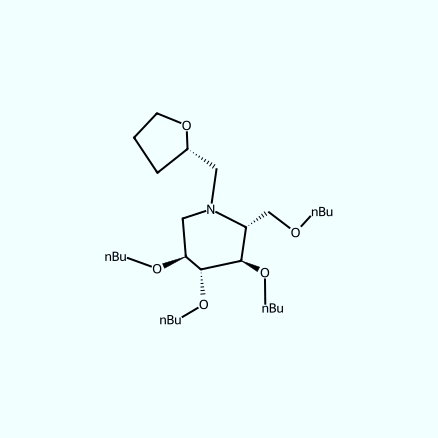 CCCCOC[C@@H]1[C@@H](OCCCC)[C@H](OCCCC)[C@@H](OCCCC)CN1C[C@@H]1CCCO1